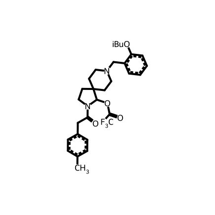 Cc1ccc(CC(=O)N2CCC3(CCN(Cc4ccccc4OCC(C)C)CC3)C2OC(=O)C(F)(F)F)cc1